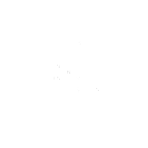 C1=C(c2cccc3sc4ccc(C5=NC(c6ccccc6)NC(c6ccccc6)=N5)cc4c23)CC2Oc3cccc(-n4c5ccccc5c5ccccc54)c3C2=C1